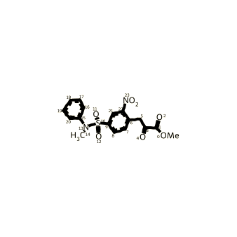 COC(=O)C(=O)Cc1ccc(S(=O)(=O)N(C)c2ccccc2)cc1[N+](=O)[O-]